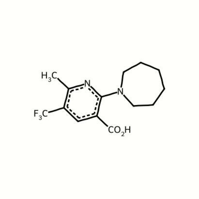 Cc1nc(N2CCCCCC2)c(C(=O)O)cc1C(F)(F)F